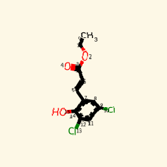 CCOC(=O)C=Cc1cc(Cl)cc(Cl)c1O